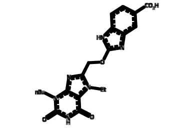 CCCCn1c(=O)[nH]c(=O)c2c1nc(COc1nc3cc(C(=O)O)ccc3[nH]1)n2CC